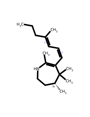 CCC/C(C)=C/C=C\C1=C(C)NCC[C@@H](C)C1(C)C